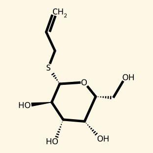 C=CCS[C@@H]1O[C@H](CO)[C@H](O)[C@H](O)[C@H]1O